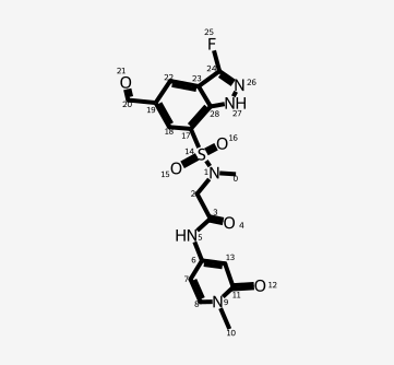 CN(CC(=O)Nc1ccn(C)c(=O)c1)S(=O)(=O)c1cc(C=O)cc2c(F)n[nH]c12